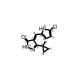 CC1(C2=NNC(=O)/C2=C/c2ccc(Cl)[nH]2)CC1